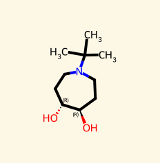 CC(C)(C)N1CC[C@@H](O)[C@H](O)CC1